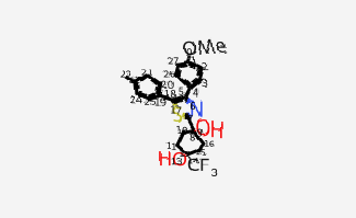 COc1ccc(-c2nc([C@]3(O)CC[C@@](O)(C(F)(F)F)CC3)sc2-c2ccc(C)cc2)cc1